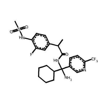 CC(C(=O)NC(N)(c1ccc(C(F)(F)F)nc1)C1CCCCC1)c1ccc(NS(C)(=O)=O)c(F)c1